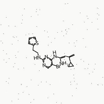 C=C(/C=C(\N)Nc1nc(NCCc2cccs2)ncc1Br)C1CC1